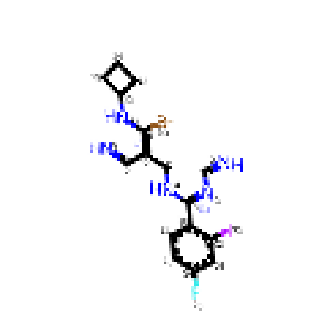 N=C/N=C(\NC/C(C=N)=C(\Br)NC1CCC1)c1ccc(F)cc1I